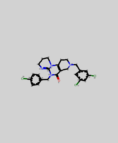 O=C1C2=C(CCN(Cc3cc(Cl)cc(Cl)c3)C2)N2CCCN=C2N1Cc1ccc(Cl)cc1